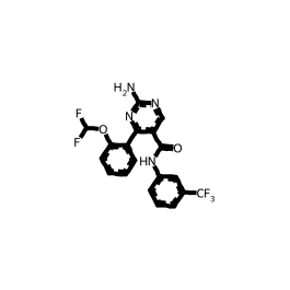 Nc1ncc(C(=O)Nc2cccc(C(F)(F)F)c2)c(-c2ccccc2OC(F)F)n1